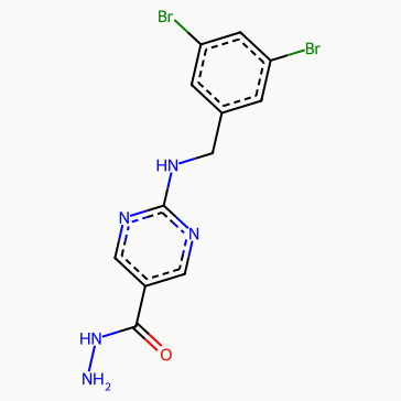 NNC(=O)c1cnc(NCc2cc(Br)cc(Br)c2)nc1